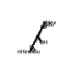 CCCCCCC(=CC(=O)OCCCCCCCCN(CCCCO)CCCCCCCCOC(=O)/C=C(\CCCC)CCCCCC)CCCC